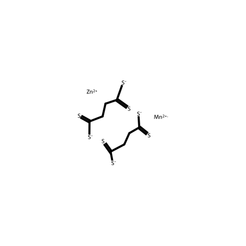 S=C([S-])CCC(=S)[S-].S=C([S-])CCC(=S)[S-].[Mn+2].[Zn+2]